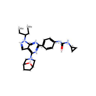 COCC(COC)n1ncc2c(N3CC4CCC(C3)O4)nc(-c3ccc(NC(=O)NC4CC4)cc3)nc21